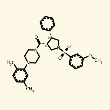 COc1cccc(S(=O)(=O)N2C[C@H](C(=O)N3CCN(c4cc(C)ccc4C)CC3)[C@H](c3ccccc3)C2)c1